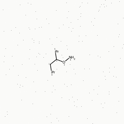 CC(C)CC(ON)C(C)C